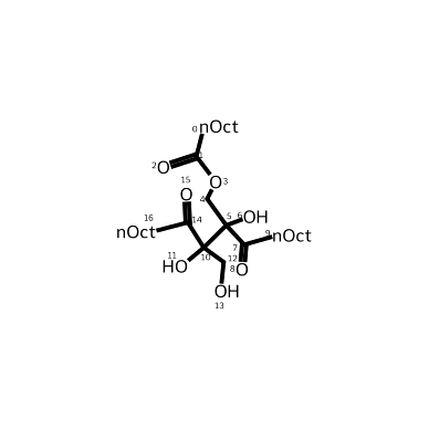 CCCCCCCCC(=O)OCC(O)(C(=O)CCCCCCCC)C(O)(CO)C(=O)CCCCCCCC